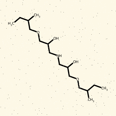 CCC(C)COCC(O)CNCC(O)COCC(C)CC